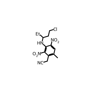 CCC(CCCl)Nc1c([N+](=O)[O-])cc(C)c(CC#N)c1[N+](=O)[O-]